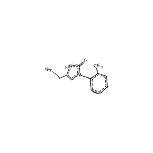 CC(C)Cc1cn(-c2ccccc2C(F)(F)F)c(=O)[nH]1